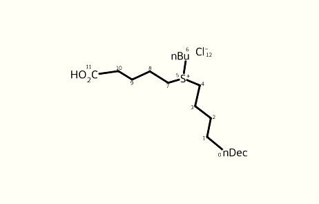 CCCCCCCCCCCCCC[S+](CCCC)CCCCC(=O)O.[Cl-]